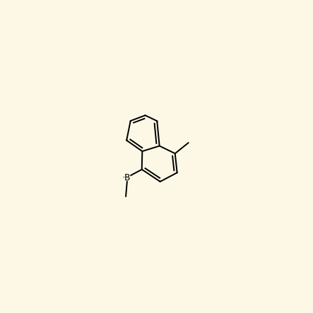 C[B]c1ccc(C)c2ccccc12